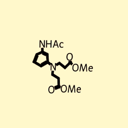 COC(=O)CCN(CCC(=O)OC)c1cccc(NC(C)=O)c1